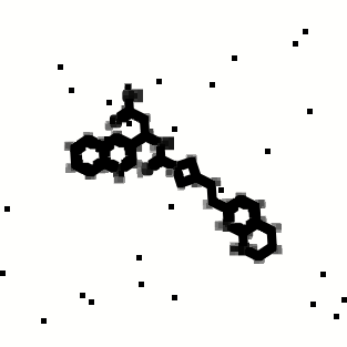 O=C(O)CC(NC(=O)N1CC(CCc2ccc3c(n2)NCCC3)C1)c1cnc2ccccc2c1